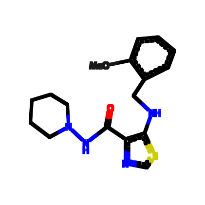 COc1ccccc1CNc1scnc1C(=O)NN1CCCCC1